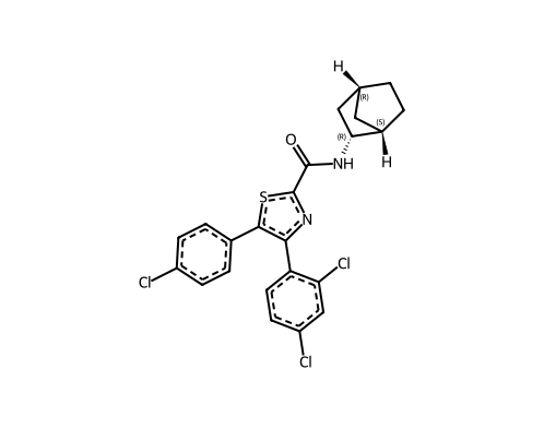 O=C(N[C@@H]1C[C@@H]2CC[C@H]1C2)c1nc(-c2ccc(Cl)cc2Cl)c(-c2ccc(Cl)cc2)s1